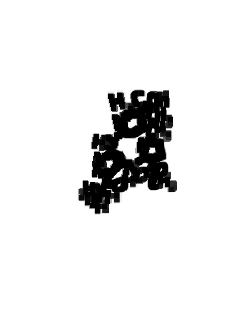 [2H]C([2H])([2H])NC(=O)c1nnc(Nc2ccc(C(C)(C)O)cn2)cc1Nc1nc(C)ccc1S(C)(=O)=O